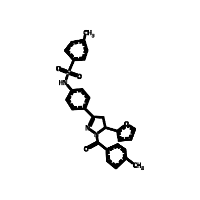 Cc1ccc(C(=O)N2N=C(c3ccc(NS(=O)(=O)c4ccc(C)cc4)cc3)CC2c2ccco2)cc1